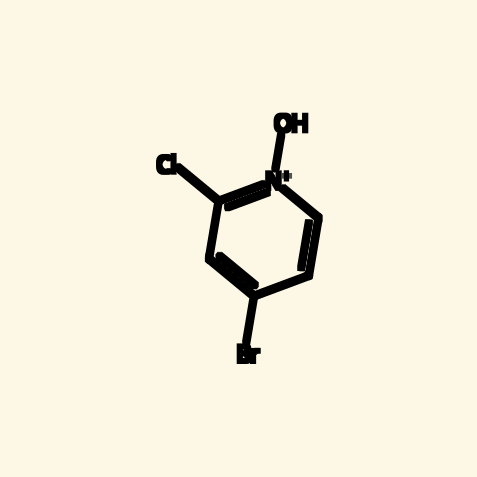 O[n+]1ccc(Br)cc1Cl